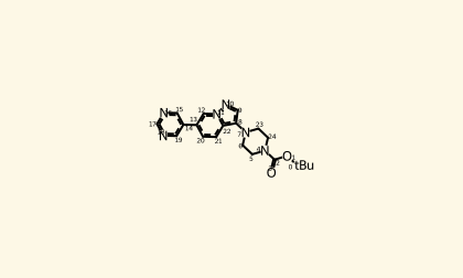 CC(C)(C)OC(=O)N1CCN(c2cnn3cc(-c4cncnc4)ccc23)CC1